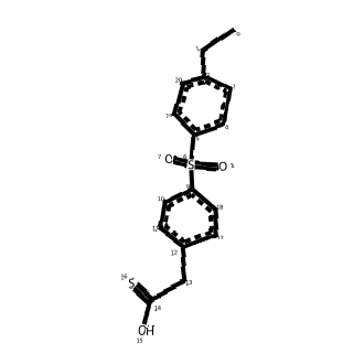 CCc1ccc(S(=O)(=O)c2ccc(CC(O)=S)cc2)cc1